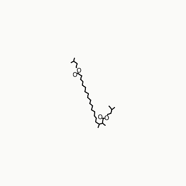 CC(C)CCOC(=O)CCCCCCCCCCCCCCCCC(C)C(C)C(=O)OCCC(C)C